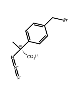 CC(C)Cc1ccc([C@](C)(N=[N+]=[N-])C(=O)O)cc1